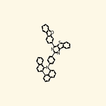 c1ccc2c3c(ccc2c1)-c1cccc2cccc(c12)N3c1ccc(-c2nc(-c3ccc4c(c3)oc3ccccc34)c3sc4ccccc4c3n2)cc1